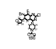 CC(C)(C)OC(=O)N1CCN(c2nc(Cl)nc3c(F)c(Br)c(-c4ccoc4)cc23)CC1